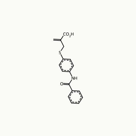 C=C(CSc1ccc(NC(=O)c2ccccc2)cc1)C(=O)O